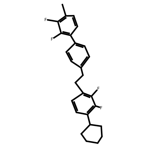 Cc1ccc(-c2ccc(CCc3ccc(C4CCCCC4)c(F)c3F)cc2)c(F)c1F